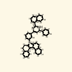 C1=C(c2cccc(-n3c4c(c5c6ccccc6ccc53)-c3ccccc3CC4)c2)N=C(c2cccc3ccccc23)NC1c1ccccc1